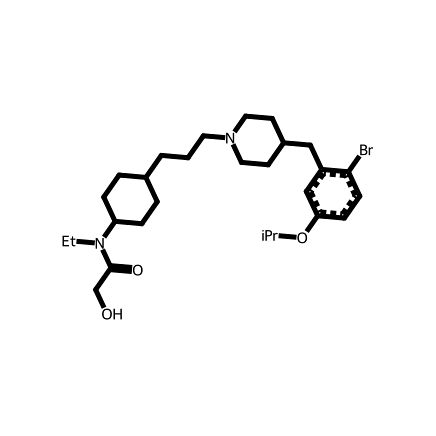 CCN(C(=O)CO)C1CCC(CCCN2CCC(Cc3cc(OC(C)C)ccc3Br)CC2)CC1